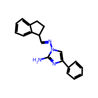 Nc1nc(-c2ccccc2)cn1/N=C/C1CCc2ccccc21